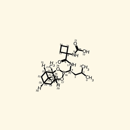 CC(C)C[C@H](NC(=O)C1(NC(=O)O)CCC1)B1O[C@@H]2C[C@@H]3C[C@@H](C3(C)C)[C@]2(C)O1